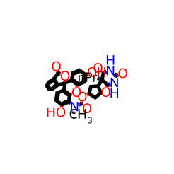 CCCC1(C2CCC(OC(=O)N(C)c3c(O)ccc4c3Oc3cc(O)ccc3C43OC(=O)c4ccccc43)C2)C(=O)NC(=O)NC1=O